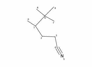 CC(CCC#N)C(C)(C)C